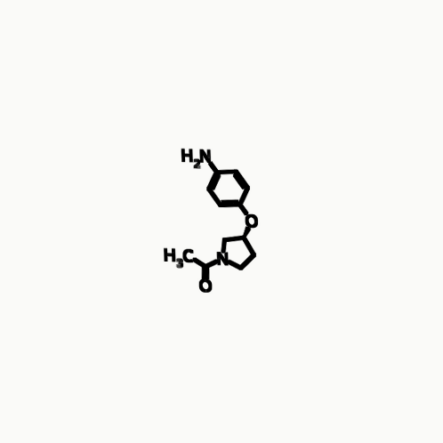 CC(=O)N1CC[C@H](Oc2ccc(N)cc2)C1